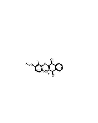 COc1ccc(N)c(OC2=C(Cl)C(=O)c3ccccc3C2=O)c1C